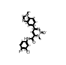 CN1C(C(=O)Nc2ccc(F)c(Cl)c2)=CC(c2ccc3c(c2)ncn3C)=N[S+]1[O-]